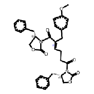 COc1ccc(C/C(=C\CCC(=O)N2C(=O)OC[C@@H]2Cc2ccccc2)C(=O)N2C(=O)OC[C@@H]2Cc2ccccc2)cc1